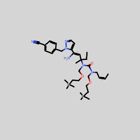 C/C=C\CN(COCC[Si](C)(C)C)C(=O)N(COCC[Si](C)(C)C)C(C)(/C=C(\N)c1ccnn1Cc1ccc(C#N)cc1)CC